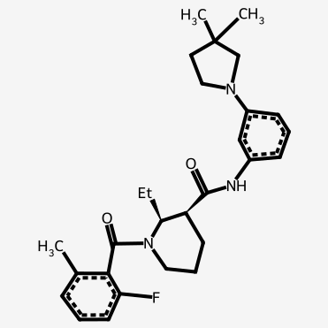 CC[C@H]1[C@@H](C(=O)Nc2cccc(N3CCC(C)(C)C3)c2)CCCN1C(=O)c1c(C)cccc1F